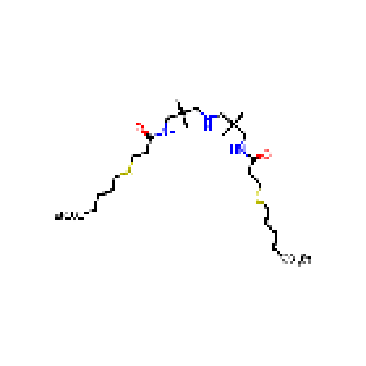 CCOC(=O)CCCCSCCC(=O)NCC(C)(C)CNCC(C)(C)CNC(=O)CCSCCCCC(=O)OCC